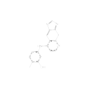 Cc1ccc(Nc2ccnc3c2C=C2N=CN=C2C3)cc1O